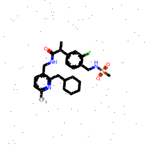 CC(C(=O)NCc1ccc(C(F)(F)F)nc1CC1CCCCC1)c1ccc(CNS(C)(=O)=O)c(F)c1